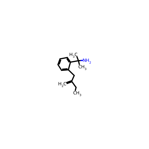 C=C(CC)Cc1ccccc1C(C)(C)N